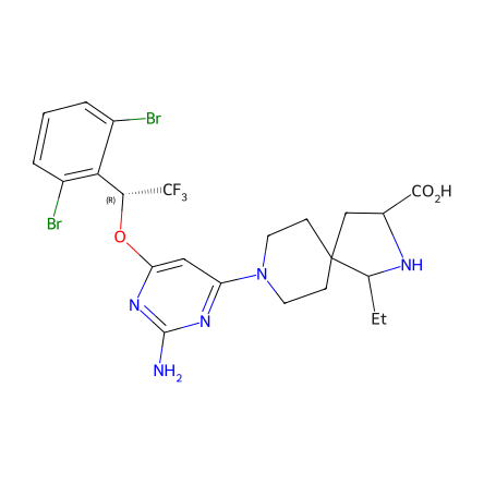 CCC1NC(C(=O)O)CC12CCN(c1cc(O[C@H](c3c(Br)cccc3Br)C(F)(F)F)nc(N)n1)CC2